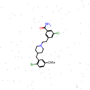 COc1ccc(Br)c(CC2CCN(CCc3cc(Cl)cc(C(N)=O)c3)CC2)c1